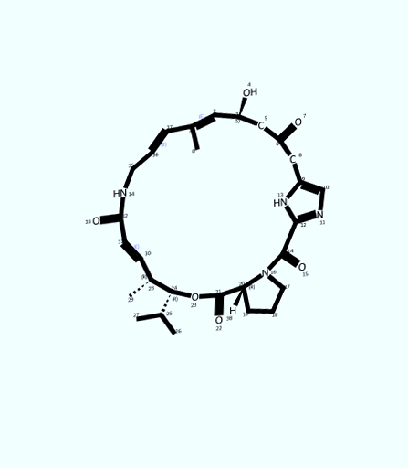 CC1=C\[C@@H](O)CC(=O)Cc2cnc([nH]2)C(=O)N2CCC[C@@H]2C(=O)O[C@H](C(C)C)[C@H](C)/C=C/C(=O)NC\C=C\1